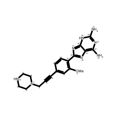 COc1cc(C#CCN2CCNCC2)ccc1-c1nc2[nH]c(N)nc(N)c-2n1